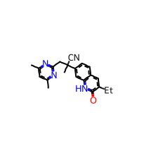 CCc1cc2ccc(C(C)(C#N)Cc3nc(C)cc(C)n3)cc2[nH]c1=O